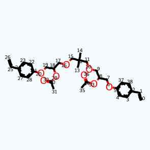 C=Cc1ccc(OCC(COCC(C)(C)COCC(COc2ccc(C=C)cc2)OC(C)=O)OC(C)=O)cc1